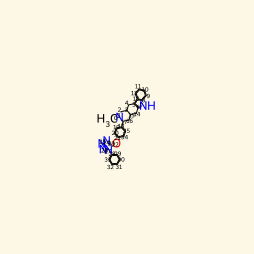 CN1CC2Cc3c([nH]c4ccccc34)CC2CC1c1ccc(Oc2nnnn2-c2ccccc2)cc1